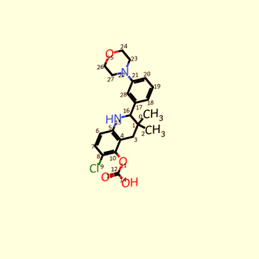 CC1(C)Cc2c(ccc(Cl)c2OC(=O)O)NC1c1cccc(N2CCOCC2)c1